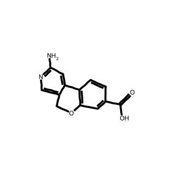 Nc1cc2c(cn1)COc1cc(C(=O)O)ccc1-2